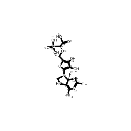 NC1=C2NCN(c3oc(CO[C@@H](C(=O)O)P(=O)(O)O)c(O)c3O)[C@H]2NC(F)=N1